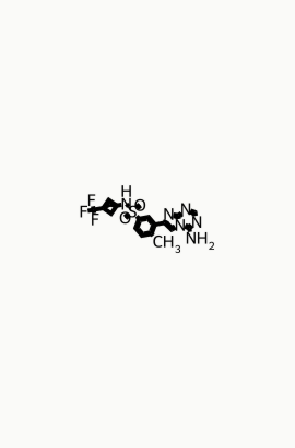 Cc1ccc(S(=O)(=O)NC23CC(C(F)(F)F)(C2)C3)cc1-c1cn2c(N)ncnc2n1